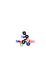 N#CCOc1cc(/C=C/c2cccc(-c3ccccc3)c2C#N)c(CN2CCCC[C@H]2C(=O)O)cc1Cl